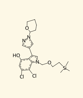 C[Si](C)(C)CCOCn1cc(-c2cnn(C3CCCCO3)c2)c2c(O)cc(Cl)c(Cl)c21